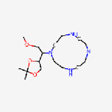 COCC(C1COC(C)(C)O1)N1CCNCCNCCNCC1